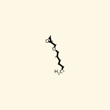 [CH2]CCCCCOCC1CO1